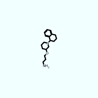 NCCCOC1CCCN(C2CCCc3ccccc32)C1